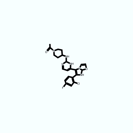 CC(=O)N1CCC(NC2N=CC=C(C3=C(c4ccc(F)cc4Cl)NC4OC=CN34)N2)CC1